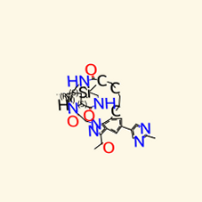 CC(=O)c1nn2c3c(cc(-c4cnc(C)nc4)cc13)CCCCCCC(=O)NC[C@@]13C[C@@H](C(=O)NC[Si](C)(C)C)N(C(=O)C2)[C@@H]1[C@@H]3C